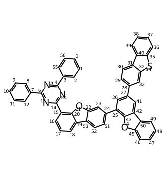 c1ccc(-c2nc(-c3ccccc3)nc(-c3cccc4c3oc3cc(-c5cc(-c6ccc7c(c6)sc6ccccc67)cc6c5oc5ccccc56)ccc34)n2)cc1